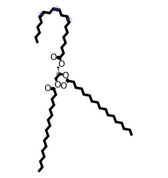 CCCCC/C=C\C/C=C\C/C=C\CCCCCCC(=O)OC[C@@H](COC(=O)CCCCCCCCCCCCCCCC)OC(=O)CCCCCCCCCCCCCCCC